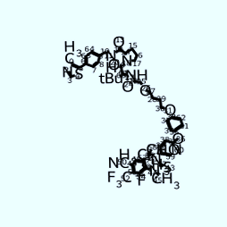 Cc1ncsc1-c1ccc(CNC(=O)C2CCCN2C(=O)[C@@H](NC(=O)COCCCCOc2ccc(Oc3ccc(N(C(=S)N(C)c4ccc(C#N)c(C(F)(F)F)c4F)C(C)(C)C=O)cn3)cc2)C(C)(C)C)cc1